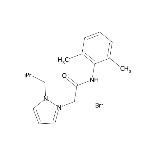 Cc1cccc(C)c1NC(=O)C[n+]1cccn1CC(C)C.[Br-]